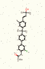 CCC(O)(/C=C/c1ccc(C(CC)(CC)c2ccc(-c3ccc(CC(=O)OC)c(F)c3)cc2)cc1C)CC